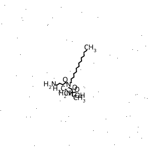 CCCCCCCCCCCCCCN(C(=O)CCCN)[C@H](C(=O)C(N)(CC)C(=O)O)C(C)C